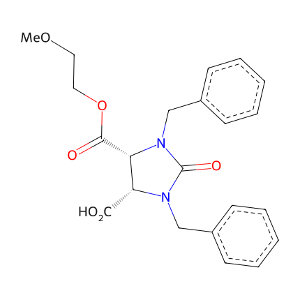 COCCOC(=O)[C@H]1[C@@H](C(=O)O)N(Cc2ccccc2)C(=O)N1Cc1ccccc1